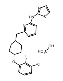 Fc1c(Cl)cccc1O[C@H]1CC[C@H](Cc2cccc(Nc3nccs3)n2)CC1.O=C(O)O